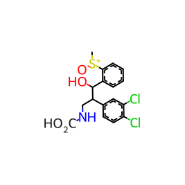 C[S+]([O-])c1ccccc1C(O)C(CNC(=O)O)c1ccc(Cl)c(Cl)c1